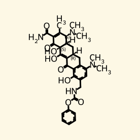 CC1=C(C(N)=O)C(=O)[C@@]2(O)C(O)=C3C(=O)c4c(O)c(CNC(=O)Oc5ccccc5)cc(N(C)C)c4C[C@H]3C[C@H]2[C@@H]1N(C)C